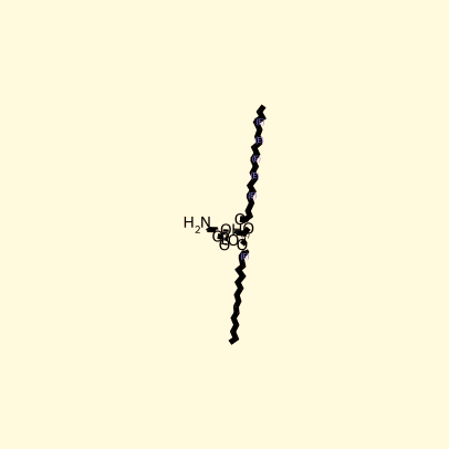 CC/C=C/C/C=C/C/C=C/C/C=C/C/C=C/CCCC(=O)O[C@H](CO/C=C/CCCCCCCCCCCCCC)COP(=O)(O)OCCN